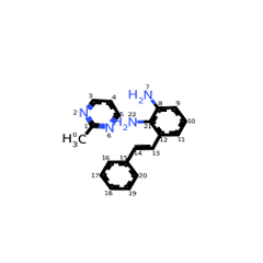 Cc1ncccn1.Nc1cccc(C=Cc2ccccc2)c1N